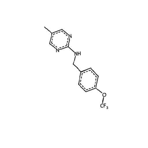 Cc1cnc(NCc2ccc(OC(F)(F)F)cc2)nc1